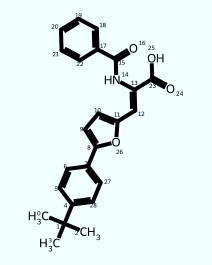 CC(C)(C)c1ccc(-c2ccc(/C=C(\NC(=O)c3ccccc3)C(=O)O)o2)cc1